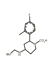 Cc1cc(F)ccc1C1CC(NCC(C)(C)C)CCN1C(=O)O